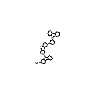 N#Cc1ccc2c3ccccc3n(-c3ccc4oc5ccc(-c6cccc(-n7c8ccccc8c8ccccc87)c6)cc5c4c3)c2c1